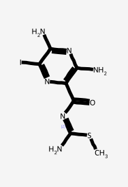 CS/C(N)=N\C(=O)c1nc(I)c(N)nc1N